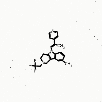 CC(=Cn1c2c(c3cc(C)ccc31)CN(CC(F)(F)F)CC2)c1ccncc1